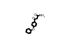 NC(=O)CC(=O)c1ccc(Oc2ccccc2)cc1